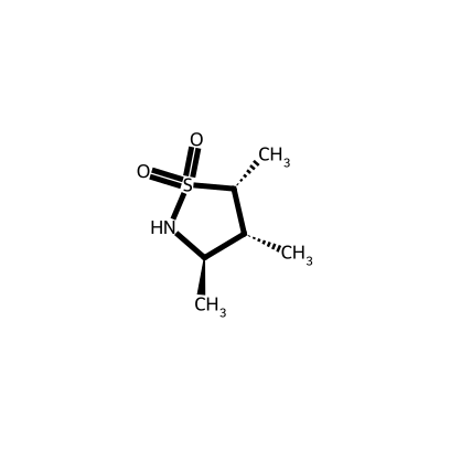 C[C@H]1[C@@H](C)S(=O)(=O)N[C@@H]1C